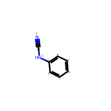 N#CNc1cc[c]cc1